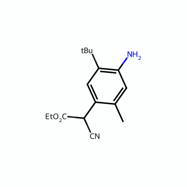 CCOC(=O)C(C#N)c1cc(C(C)(C)C)c(N)cc1C